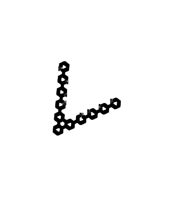 c1ccc(-c2ccc(-c3ccc(-c4ccc(-c5ccc6c7ccccc7c7ccc(-c8ccc(-c9ccc(-c%10ccc(-c%11ccccn%11)cn%10)cn9)nc8)cc7c6c5)cn4)nc3)nc2)nc1